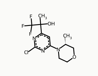 C[C@@H]1COCCN1c1cc(C(C)(O)C(F)(F)F)nc(Cl)n1